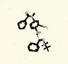 CN(C(=O)c1ccccc1)c1ccc(NC[C@H](O[Si](C)(C)C(C)(C)C)c2ccccc2)c(N)c1